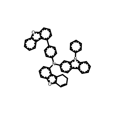 C1=Cc2oc3cccc(N(c4ccc(-c5cccc6oc7ccccc7c56)cc4)c4ccc5c6ccccc6n(-c6ccccc6)c5c4)c3c2CC1